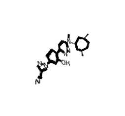 C[C@@H]1CC[C@H](C)C[C@@H](N(C)c2ccc(-c3ccc(-n4cc(C#N)cn4)cc3O)nn2)C1